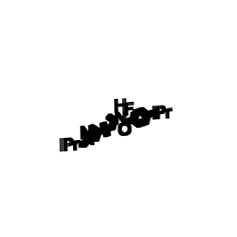 CC(C)Cn1cc(C(C)(C)CC(C)NC(=O)c2ccc(C(C)C)cc2F)cn1